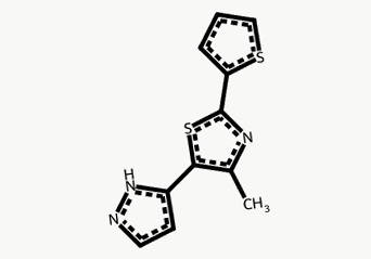 Cc1nc(-c2cccs2)sc1-c1ccn[nH]1